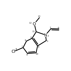 C=CN1CC2=C(CC(Cl)C=C2)C1OC